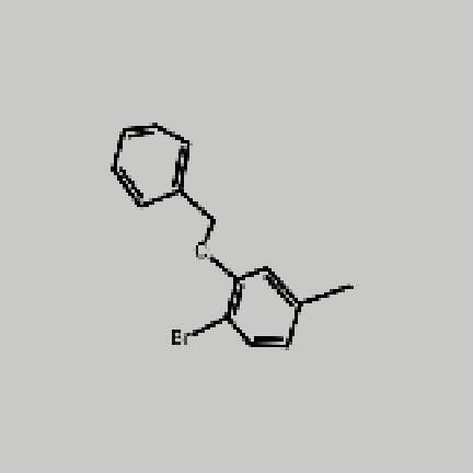 [CH2]c1ccc(Br)c(OCc2ccccc2)c1